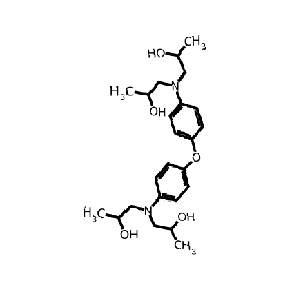 CC(O)CN(CC(C)O)c1ccc(Oc2ccc(N(CC(C)O)CC(C)O)cc2)cc1